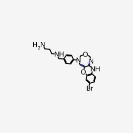 NCCCNCc1ccc(N2/C=C3/Oc4cc(Br)ccc4N/C3=N/COC2)cc1